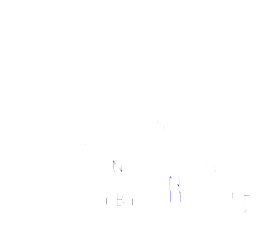 CCCCN(CCc1ccccc1)C(=S)NOC(F)(F)F